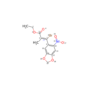 CCOC(=O)/C(C)=C(\Br)c1cc2c(cc1[N+](=O)[O-])OCO2